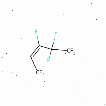 F/C(=C/C(F)(F)F)C(F)(F)C(F)(F)F